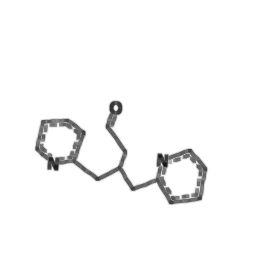 O=CCC(Cc1ccccn1)Cc1ccccn1